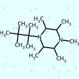 CC1C(C)N(C(C)(C)C(C)(C)C)C(C)C(C)N1C